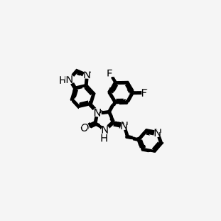 O=C1N/C(=N\Cc2cccnc2)C(c2cc(F)cc(F)c2)N1c1ccc2[nH]cnc2c1